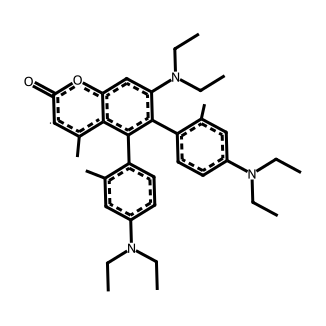 CCN(CC)c1ccc(-c2c(N(CC)CC)cc3oc(=O)[c]c(C)c3c2-c2ccc(N(CC)CC)cc2C)c(C)c1